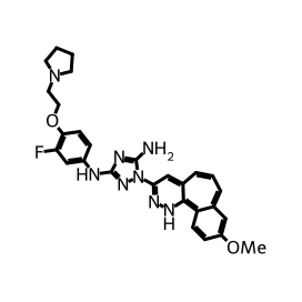 COc1ccc2c(c1)=CC=CC1=CC(n3nc(Nc4ccc(OCCN5CCCC5)c(F)c4)nc3N)=NNC=21